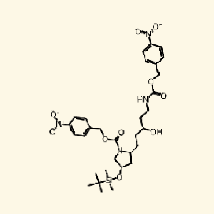 CC(C)(C)[Si](C)(C)O[C@@H]1C[C@H](CCC(O)CCNC(=O)OCc2ccc([N+](=O)[O-])cc2)N(C(=O)OCc2ccc([N+](=O)[O-])cc2)C1